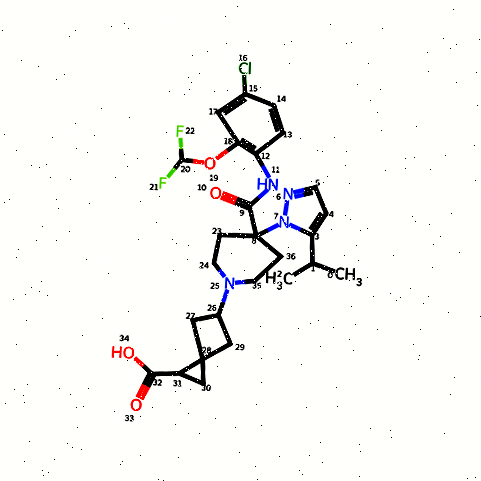 CC(C)c1ccnn1C1(C(=O)Nc2ccc(Cl)cc2OC(F)F)CCN(C2CC3(C2)CC3C(=O)O)CC1